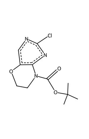 CC(C)(C)OC(=O)N1CCOc2cnc(Cl)nc21